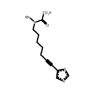 CC(C)(C)N(CCCCCC#Cc1cncs1)C(=O)C(=O)O